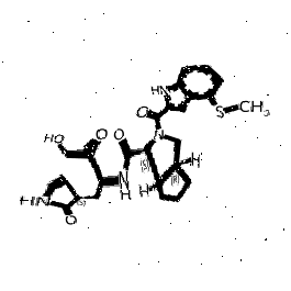 CSc1cccc2[nH]c(C(=O)N3C[C@@H]4CCC[C@@H]4[C@H]3C(=O)NC(C[C@@H]3CCNC3=O)C(=O)CO)cc12